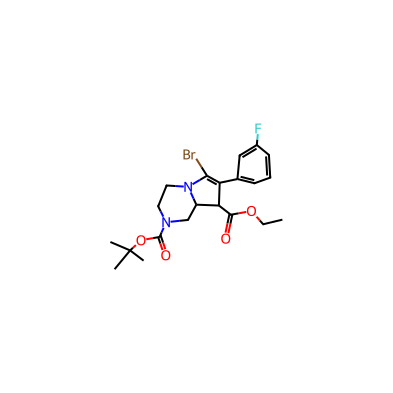 CCOC(=O)C1C(c2cccc(F)c2)=C(Br)N2CCN(C(=O)OC(C)(C)C)CC12